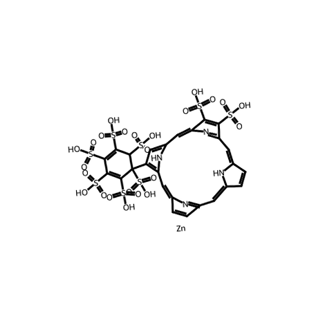 O=S(=O)(O)C1=C(S(=O)(=O)O)C(S(=O)(=O)O)C(c2cc3cc4nc(cc5ccc(cc6nc(cc2[nH]3)C=C6)[nH]5)C(S(=O)(=O)O)=C4S(=O)(=O)O)(S(=O)(=O)O)C(S(=O)(=O)O)=C1S(=O)(=O)O.[Zn]